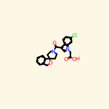 O=C(O)Cn1cc(C(=O)N2CCC3(CC2)OCc2ccccc23)c2ccc(Cl)cc21